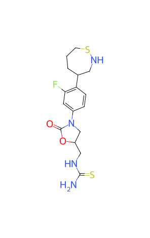 NC(=S)NCC1CN(c2ccc(C3CCCSNC3)c(F)c2)C(=O)O1